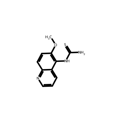 COc1ccc2ncccc2c1NC(N)=S